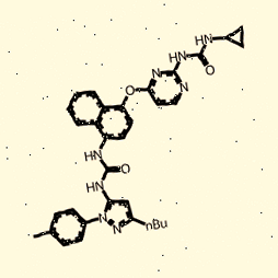 CCCCc1cc(NC(=O)Nc2ccc(Oc3ccnc(NC(=O)NC4CC4)n3)c3ccccc23)n(-c2ccc(C)cc2)n1